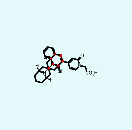 O=C(O)Cn1ccc(-c2nc3ccccc3n([C@H]3C[C@H]4CCC[C@@H](C3)N4[C@H]3C[C@@H]4CCC[C@@H](C4)C3)c2=O)cc1=O